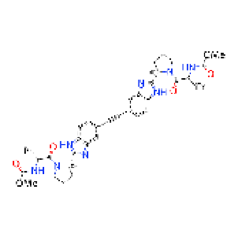 COC(=O)NC(C(=O)N1CCC[C@H]1c1nc2cc(C#Cc3ccc4[nH]c([C@@H]5CCCN5C(=O)C(NC(=O)OC)C(C)C)nc4c3)ccc2[nH]1)C(C)C